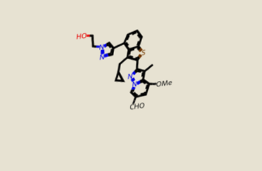 COc1cc(C=O)cn2nc(-c3sc4cccc(-c5cnn(CCO)c5)c4c3CC3CC3)c(C)c12